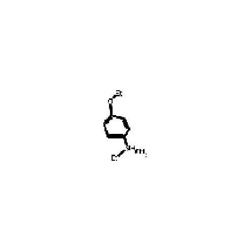 CCOc1ccc([SiH](C)CC)cc1